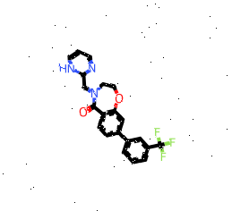 O=C1c2ccc(-c3cccc(C(F)(F)F)c3)cc2OCCN1CC1N=CC=CN1